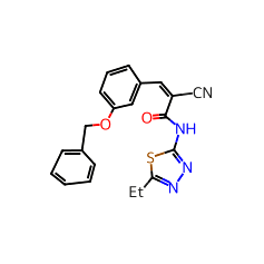 CCc1nnc(NC(=O)C(C#N)=Cc2cccc(OCc3ccccc3)c2)s1